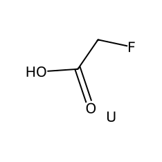 O=C(O)CF.[U]